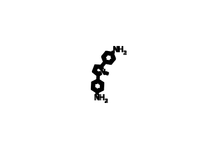 Cn1c(-c2ccc(N)cc2)ccc1-c1ccc(N)cc1